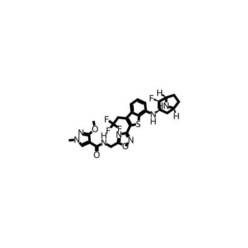 COc1nn(C)cc1C(=O)NCc1nc(-c2sc3c(N[C@@H]4C[C@H]5CC[C@H](N5)[C@@H]4F)cccc3c2CC(F)(F)F)no1